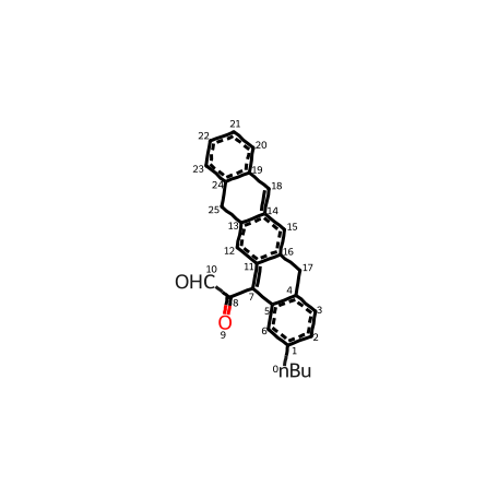 CCCCc1ccc2c(c1)C(C(=O)C=O)=c1cc3c(cc1C2)=Cc1ccccc1C3